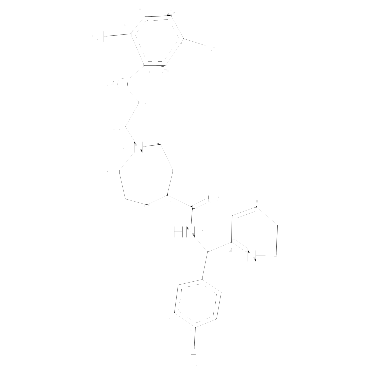 O=C(NC(C1=NCCC=C1)c1ccc(F)cc1)C1CCCN(CCOc2cc(I)ccc2I)CC1